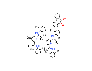 CC(C)c1cccc(C(C)C)c1NC(C)c1cccc(C(C)Nc2c(C(C)C)cccc2C(C)C)n1.CC(C)c1cccc(C(C)C)c1NC(C)c1cccc(C(C)Nc2c(C(C)C)cccc2C(C)C)n1.[Co+].[Co+].[O-]c1c([O-])c2ccccc2c2ccccc12